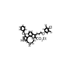 CCOC(=O)c1c(CCCOc2cc(C)c(Cl)c(C)c2)c2cccc3c2n1CCN(C)Cc1[nH]nc(COc2ccccc2)c1-3